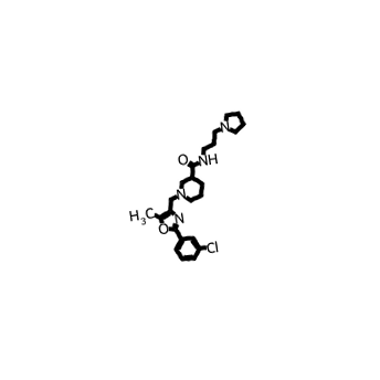 Cc1oc(-c2cccc(Cl)c2)nc1CN1CCCC(C(=O)NCCCN2CCCC2)C1